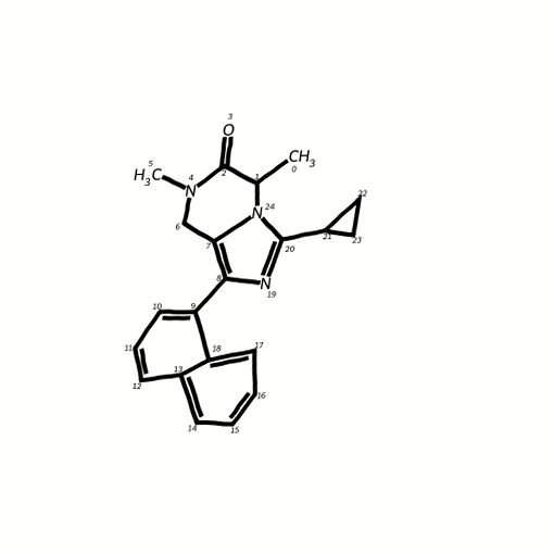 CC1C(=O)N(C)Cc2c(-c3cccc4ccccc34)nc(C3CC3)n21